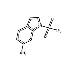 CS(=O)(=O)n1ccc2ccc(N)cc21